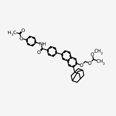 COC(C)OCOc1cc2ccc(-c3ccc(C(=O)Nc4ccc(OC(C)=O)cc4)cc3)cc2cc1C12CC3CC(CC(C3)C1)C2